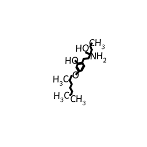 CCCC(N)(CO)CCc1ccc(OCC(C)CCCC(C)C)cc1O